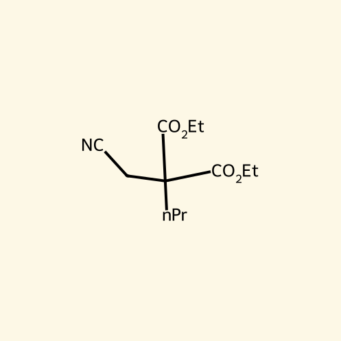 CCCC(CC#N)(C(=O)OCC)C(=O)OCC